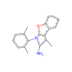 Cc1cccc(C)c1-n1c(N)c(C)c2c3ccccc3oc21